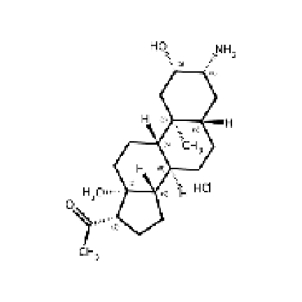 CC(=O)[C@H]1CC[C@H]2[C@@H]3CC[C@H]4C[C@@H](N)[C@@H](O)C[C@]4(C)[C@H]3CC[C@]12C.Cl